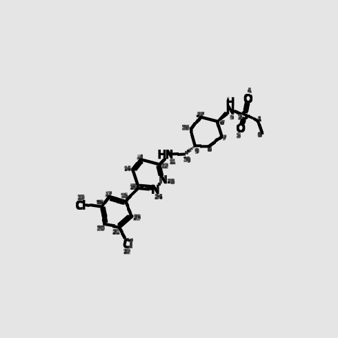 CCS(=O)(=O)N[C@H]1CC[C@H](CNc2ccc(-c3cc(Cl)cc(Cl)c3)nn2)CC1